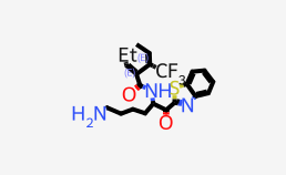 C/C=C(\C(=C/CC)C(=O)NC(CCCCN)C(=O)c1nc2ccccc2s1)C(F)(F)F